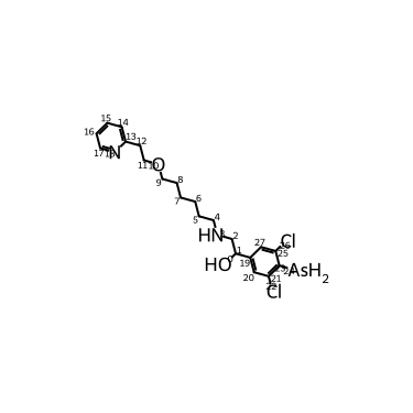 OC(CNCCCCCCOCCc1ccccn1)c1cc(Cl)c([AsH2])c(Cl)c1